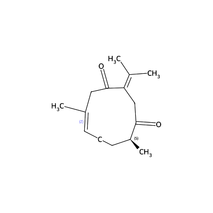 CC(C)=C1CC(=O)[C@@H](C)CC/C=C(/C)CC1=O